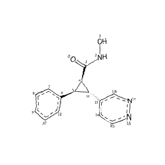 O=C(NO)[C@@H]1[C@H](c2ccccc2)[C@H]1c1ccnnc1